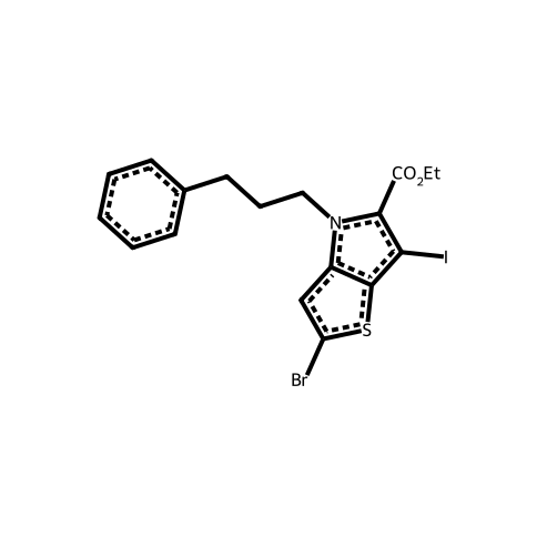 CCOC(=O)c1c(I)c2sc(Br)cc2n1CCCc1ccccc1